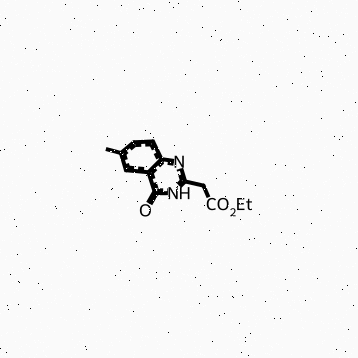 CCOC(=O)Cc1nc2ccc(C)cc2c(=O)[nH]1